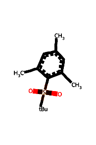 Cc1cc(C)c(S(=O)(=O)C(C)(C)C)c(C)c1